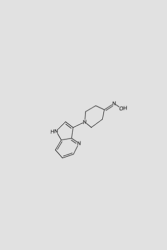 ON=C1CCN(c2c[nH]c3cccnc23)CC1